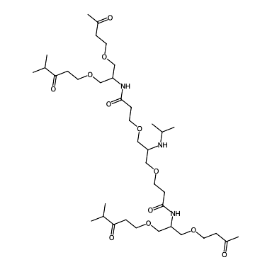 CC(=O)CCOCC(COCCC(=O)C(C)C)NC(=O)CCOCC(COCCC(=O)NC(COCCC(C)=O)COCCC(=O)C(C)C)NC(C)C